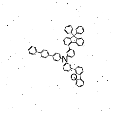 c1ccc(-c2ccc(-c3ccc(N(c4cccc(-c5cccc6c5-c5ccccc5C6(c5ccccc5)c5ccccc5)c4)c4cccc(-c5cccc6c5oc5ccccc56)c4)cc3)cc2)cc1